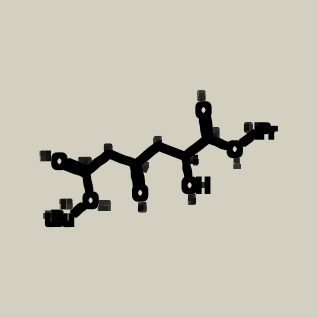 CC(C)OC(=O)C(O)CC(=O)CC(=O)OC(C)(C)C